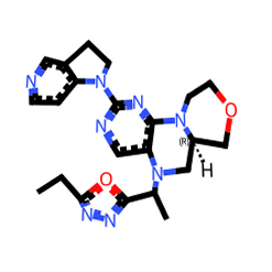 CCc1nnc(C(C)N2C[C@@H]3COCCN3c3nc(N4CCc5cnccc54)ncc32)o1